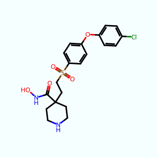 O=C(NO)C1(CCS(=O)(=O)c2ccc(Oc3ccc(Cl)cc3)cc2)CCNCC1